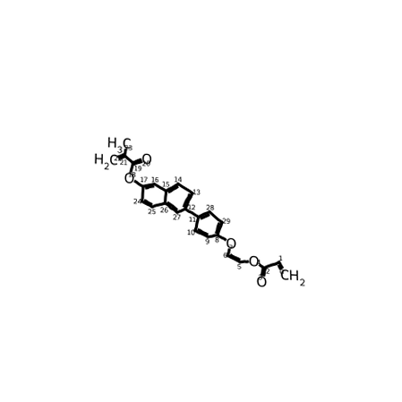 C=CC(=O)O/C=C\Oc1ccc(-c2ccc3cc(OC(=O)C(=C)C)ccc3c2)cc1